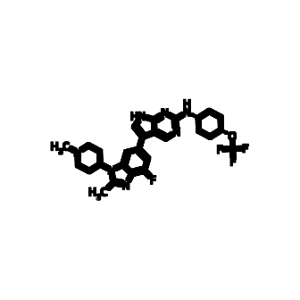 Cc1nc2c(F)cc(-c3c[nH]c4nc(N[C@H]5CC[C@@H](OC(F)(F)F)CC5)ncc34)cc2n1C1CCN(C)CC1